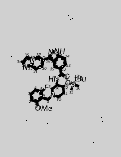 COc1cccc(F)c1CN1CCC(O[Si](C)(C)C(C)(C)C)C(NC(=O)c2ccc3[nH]nc(-c4ccc5nccn5c4)c3c2)C1